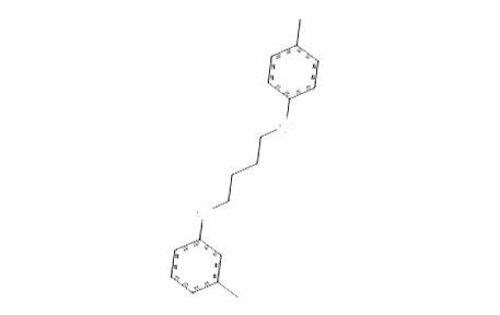 Cc1ccc(OCCCCOc2cccc(C)c2)cc1